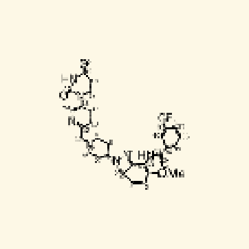 COc1ccc2cn(C3CCN(Cc4ccc(N5CCC(=O)NC5=O)cn4)CC3)nc2c1NC(=O)c1cccc(C(F)(F)F)c1